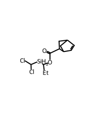 CCC(OC(=O)C1CC2C=CC1C2)[SiH2]C(Cl)Cl